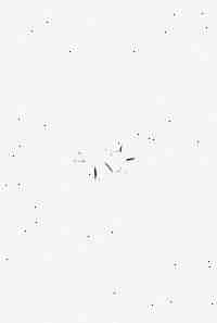 O=c1[nH]c2scc(C3CC3)c2[nH]c1=O